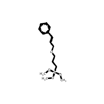 CO[Si](CCCOCC=Cc1ccccc1)(OC)OC